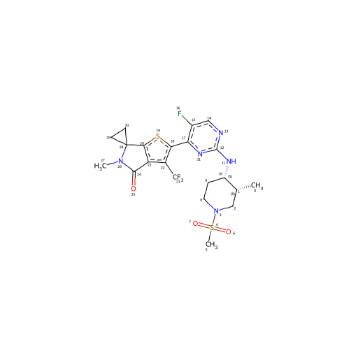 C[C@@H]1CN(S(C)(=O)=O)CC[C@@H]1Nc1ncc(F)c(-c2sc3c(c2C(F)(F)F)C(=O)N(C)C32CC2)n1